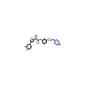 Cc1cc(-c2csc(NC(=O)Cc3cccc(OCCN4CCN(C)CC4)c3)c2)ccn1